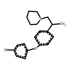 CC(CN1CCCCC1)c1ccc(Oc2ccc(Cl)cc2)cc1